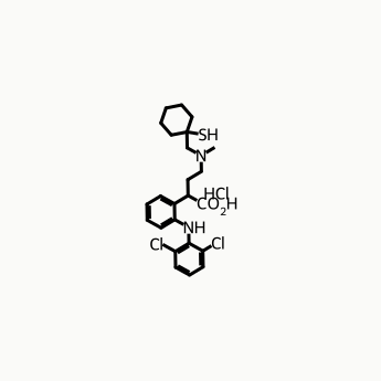 CN(CCC(C(=O)O)c1ccccc1Nc1c(Cl)cccc1Cl)CC1(S)CCCCC1.Cl